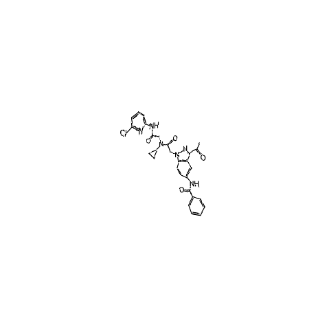 CC(=O)c1nn(CC(=O)N(CC(=O)Nc2cccc(Cl)n2)C2CC2)c2ccc(NC(=O)c3ccccc3)cc12